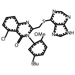 COc1ccc(C(C)(C)C)cc1-n1c(CSc2ncnc3[nH]cnc23)nc2cccc(Cl)c2c1=O